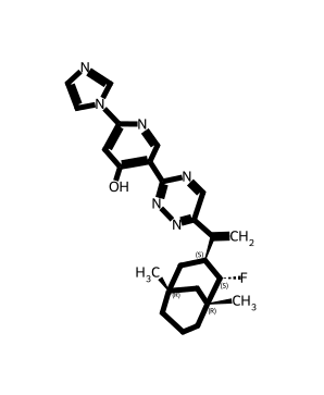 C=C(c1cnc(-c2cnc(-n3ccnc3)cc2O)nn1)[C@@H]1C[C@@]2(C)CCC[C@](C)(C2)[C@H]1F